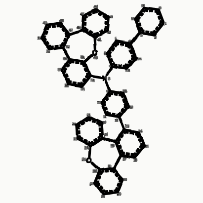 c1ccc(-c2ccc(N(c3ccc(-c4cccc5c4-c4ccccc4Oc4ccccc4-5)cc3)c3cccc4c3Oc3ccccc3-c3ccccc3-4)cc2)cc1